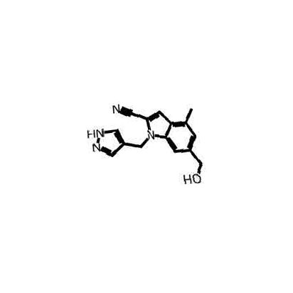 Cc1cc(CO)cc2c1cc(C#N)n2Cc1cn[nH]c1